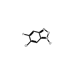 [O-][n+]1onc2cc(F)c(Cl)cc21